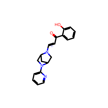 O=C(/C=C/N1CC2CC1CN2c1ccccn1)c1ccccc1O